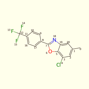 Cc1cc(Cl)c2oc(-c3ccc(C(F)(F)F)cc3)nc2c1